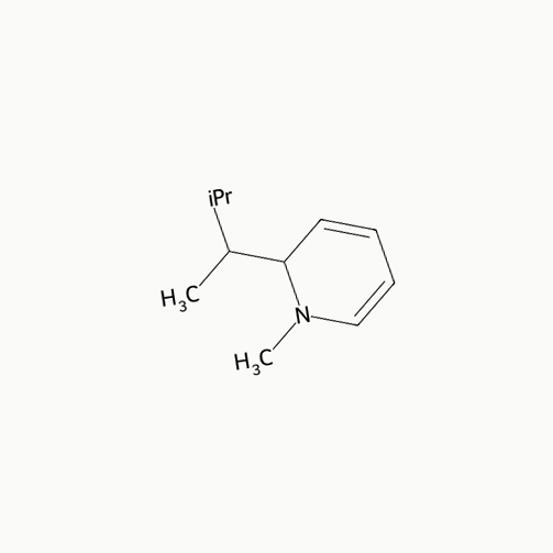 CC(C)C(C)C1C=CC=CN1C